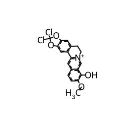 COc1ccc2cc3[n+](cc2c1O)CCc1cc2c(cc1-3)OC(Cl)(Cl)O2